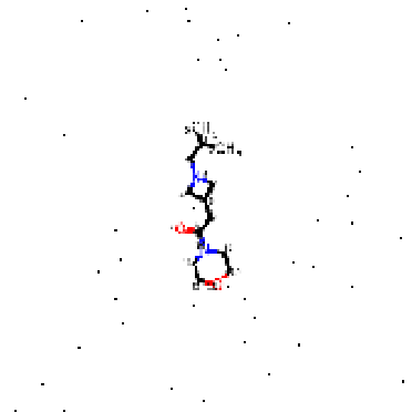 C[C](C)CN1CC(CC(=O)N2CCOCC2)C1